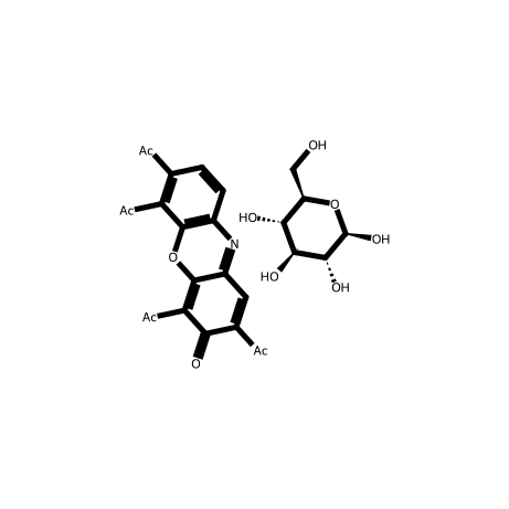 CC(=O)c1ccc2nc3cc(C(C)=O)c(=O)c(C(C)=O)c-3oc2c1C(C)=O.OC[C@H]1O[C@@H](O)[C@H](O)[C@@H](O)[C@@H]1O